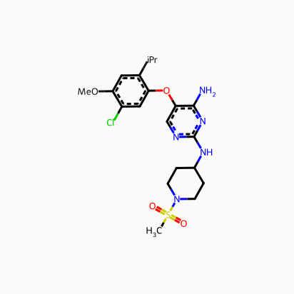 COc1cc(C(C)C)c(Oc2cnc(NC3CCN(S(C)(=O)=O)CC3)nc2N)cc1Cl